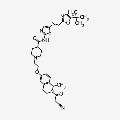 CC1c2ccc(OCCN3CCC(C(=O)Nc4ncc(SCc5ncc(C(C)(C)C)o5)s4)CC3)cc2CCN1C(=O)CC#N